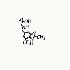 Cc1nc2cc(CNCC3(O)CC3)cc(C(F)(F)F)c2[nH]1